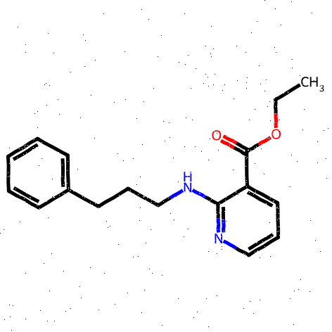 CCOC(=O)c1cccnc1NCCCc1ccccc1